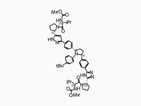 COC(=O)N[C@H](C(=O)N1CCC[C@H]1c1cc(-c2ccc([C@@H]3CC[C@@H](c4ccc(-c5nnc([C@@H]6CCCN6C(=O)[C@@H](NC(=O)OC)C(C)C)[nH]5)cc4)N3c3ccc(C(C)(C)C)cc3)cc2)n[nH]1)C(C)C